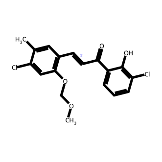 COCOc1cc(Cl)c(C)cc1/C=C/C(=O)c1cccc(Cl)c1O